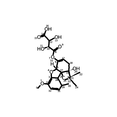 COC1=C2O[C@@H]3C(OC(=O)[C@@H](O)C(O)C(=O)O)=CC[C@@]4(O)[C@@H](C)N(C)CCC34C2C(C)C=C1